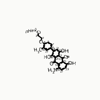 CCCCCCOCCOc1ccc(-c2cc(O)c3c(c2O)C(=O)c2c(N)ccc(O)c2C3=O)cc1C